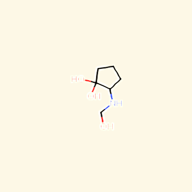 OCNC1CCCC1(O)O